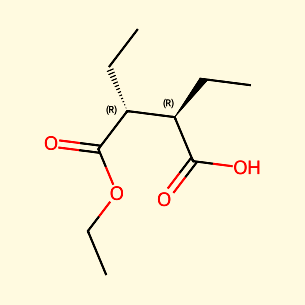 CCOC(=O)[C@H](CC)[C@@H](CC)C(=O)O